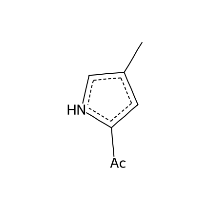 CC(=O)c1cc(C)c[nH]1